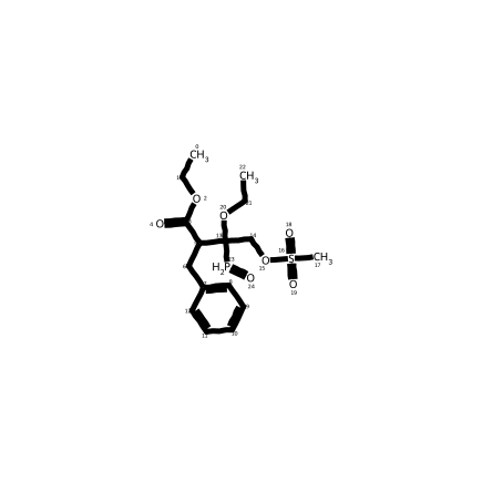 CCOC(=O)C(Cc1ccccc1)C(COS(C)(=O)=O)(OCC)[PH2]=O